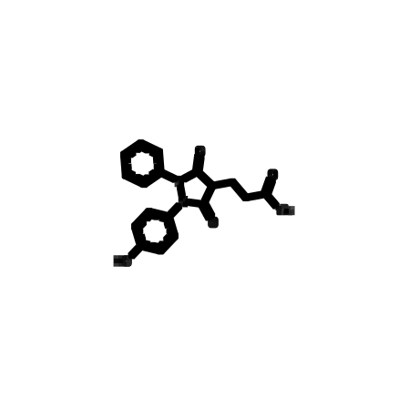 CC(C)(C)C(=O)CCC1C(=O)N(c2ccccc2)N(c2ccc(O)cc2)C1=O